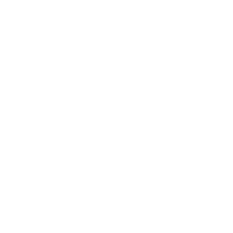 NS(=O)(=O)c1ccc(F)c(C(=O)CBr)c1